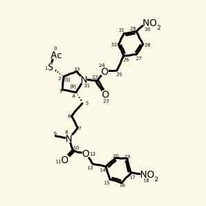 CC(=O)S[C@H]1C[C@@H](CCCN(C)C(=O)OCc2ccc([N+](=O)[O-])cc2)N(C(=O)OCc2ccc([N+](=O)[O-])cc2)C1